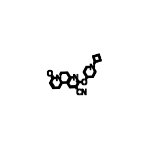 N#Cc1cc2c(nc1OC1CCN(C3CCC3)CC1)CCN1C(=O)C=CCC21